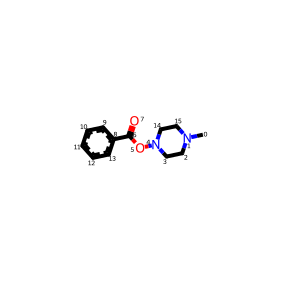 CN1CCN(OC(=O)c2ccccc2)CC1